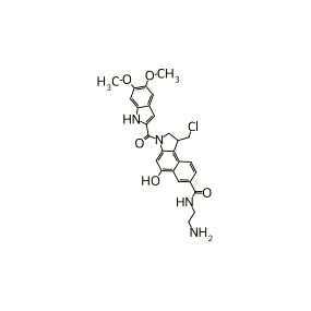 COc1cc2cc(C(=O)N3CC(CCl)c4c3cc(O)c3cc(C(=O)NCCN)ccc43)[nH]c2cc1OC